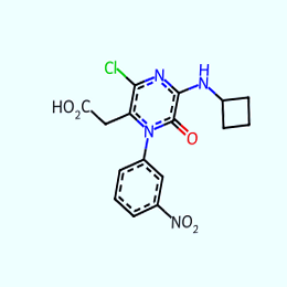 O=C(O)Cc1c(Cl)nc(NC2CCC2)c(=O)n1-c1cccc([N+](=O)[O-])c1